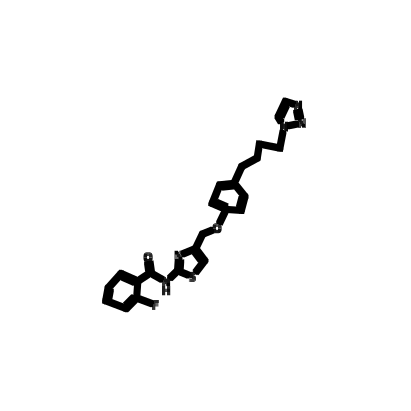 O=C(Nc1nc(COc2ccc(CCCCn3ccnn3)cc2)cs1)c1ccccc1F